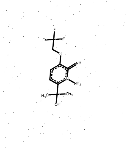 CC(C)(O)c1ccc(OCC(F)(F)F)c(=N)n1N